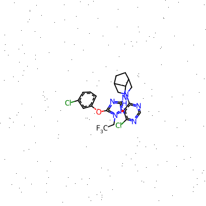 FC(F)(F)Cn1nc(NC2C3CCC2CN(c2cc(Cl)ncn2)C3)nc1Oc1cccc(Cl)c1